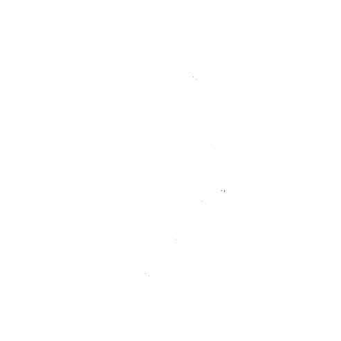 COc1ccc(N(Cc2cnccc2C)C2CCN([C@H](C)CCNC(=O)c3c(C)cc(N4CCOCC4)cc3C)CC2)cc1